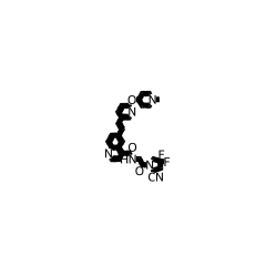 CN1CCC(Oc2ccc(/C=C/c3ccc4nccc(C(=O)NCC(=O)N5CC(F)(F)CC5C#N)c4c3)cn2)CC1